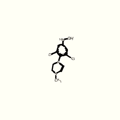 CN1CCN(c2c(Cl)cc(NO)cc2Cl)CC1